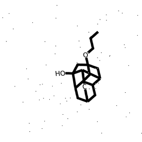 CCCOC12CC3C4CC5CC3C(O)(C1)C(C5)C4C2